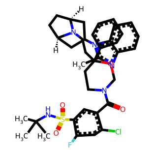 Cc1nc2ccccc2n1C1C[C@H]2CC[C@@H](C1)N2CCC1(c2ccccc2)CCN(C(=O)c2cc(S(=O)(=O)NC(C)(C)C)c(F)cc2Cl)CO1